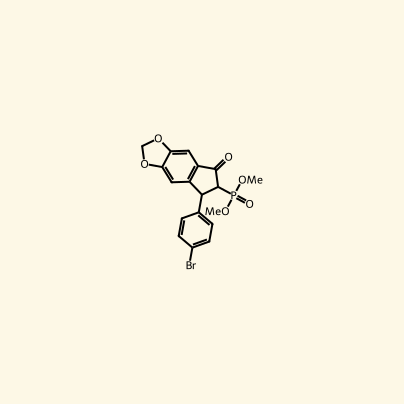 COP(=O)(OC)C1C(=O)c2cc3c(cc2C1c1ccc(Br)cc1)OCO3